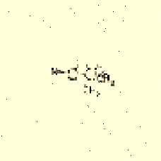 C=C[C@H]1C[C@]2(C)C(=O)CCC2C2CCc3cc(C#N)ccc3C21